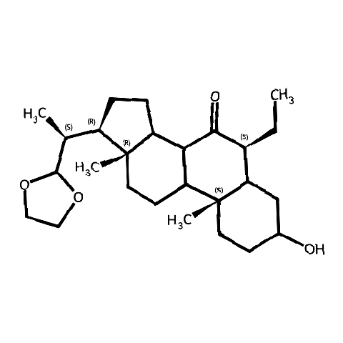 CC[C@@H]1C(=O)C2C(CC[C@@]3(C)C2CC[C@@H]3[C@H](C)C2OCCO2)[C@@]2(C)CCC(O)CC12